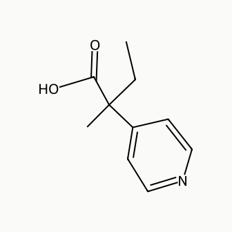 CCC(C)(C(=O)O)c1ccncc1